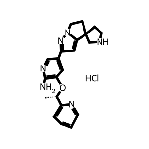 C[C@H](Oc1cc(-c2cc3n(n2)CCC32CCNC2)cnc1N)c1ccccn1.Cl